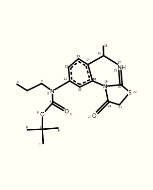 CCCN(C(=O)OC(C)(C)C)c1ccc(C(C)C)c(N2C(=N)SCC2=O)c1